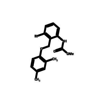 CCc1cccc(NC(=O)OC)c1COc1ccc(C)cc1C